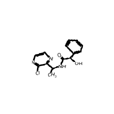 CC(NC(=O)C(O)c1ccccc1)c1nccnc1Cl